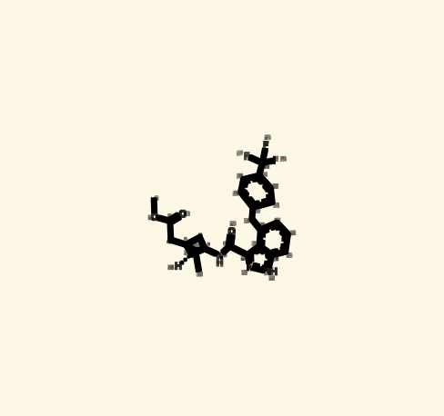 COC(=O)CC12CC(NC(=O)c3n[nH]c4cccc(Cc5ccc(C(F)(F)F)cc5)c34)(C1)[C@H]2C